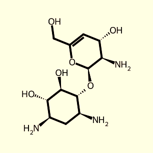 N[C@H]1[C@@H](O[C@H]2[C@H](O)[C@@H](O)[C@H](N)C[C@@H]2N)OC(CO)=C[C@@H]1O